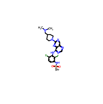 CCCS(=O)(=O)Nc1ccc(F)c(Nc2ncnc3cnc(N4CCC(CN(C)C)CC4)nc23)c1F